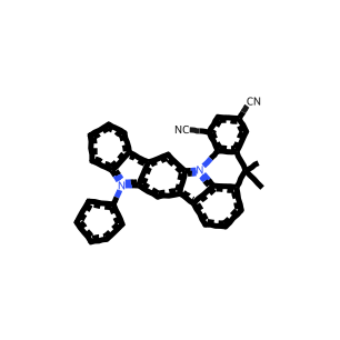 CC1(C)c2cc(C#N)cc(C#N)c2-n2c3cc4c5ccccc5n(-c5ccccc5)c4cc3c3cccc1c32